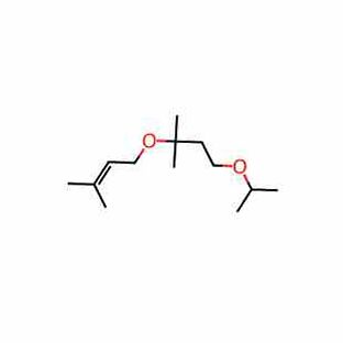 CC(C)=CCOC(C)(C)CCOC(C)C